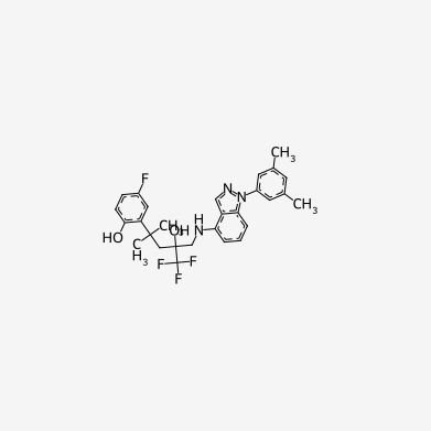 Cc1cc(C)cc(-n2ncc3c(NCC(O)(CC(C)(C)c4cc(F)ccc4O)C(F)(F)F)cccc32)c1